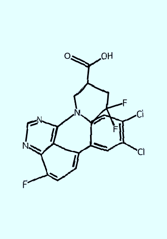 O=C(O)C1CN(c2ncnc3c(F)ccc(-c4ccc(Cl)c(Cl)c4)c23)CC(F)(F)C1